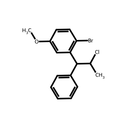 COc1ccc(Br)c(C([C](C)Cl)c2ccccc2)c1